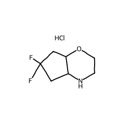 Cl.FC1(F)CC2NCCOC2C1